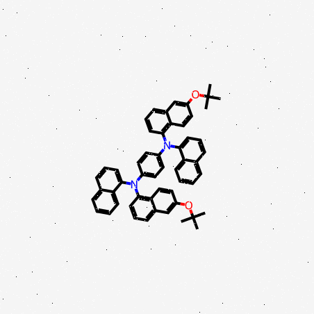 CC(C)(C)Oc1ccc2c(N(c3ccc(N(c4cccc5ccccc45)c4cccc5cc(OC(C)(C)C)ccc45)cc3)c3cccc4ccccc34)cccc2c1